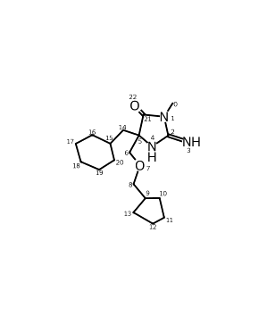 CN1C(=N)NC(COCC2CCCC2)(CC2CCCCC2)C1=O